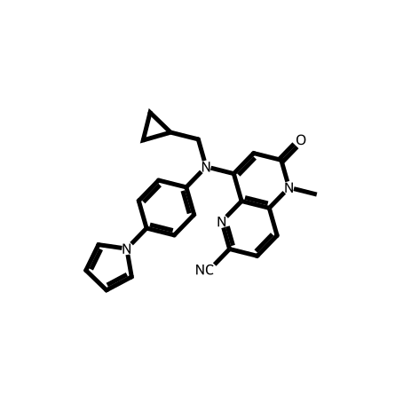 Cn1c(=O)cc(N(CC2CC2)c2ccc(-n3cccc3)cc2)c2nc(C#N)ccc21